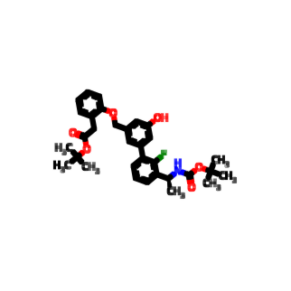 C[C@H](NC(=O)OC(C)(C)C)c1cccc(-c2cc(O)cc(COc3ccccc3CC(=O)OC(C)(C)C)c2)c1F